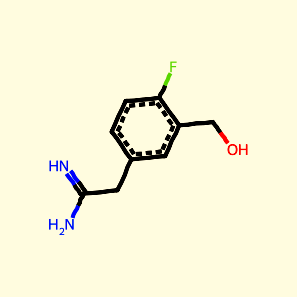 N=C(N)Cc1ccc(F)c(CO)c1